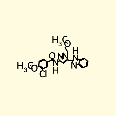 COCCn1nc(NC(=O)c2ccc(OC)c(Cl)c2)cc1-c1nc2ccccc2[nH]1